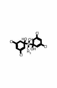 C[Si](C)(C1(O)C=C(Cl)C=C(Cl)C1)C1(O)C=C(Cl)C=C(Cl)C1